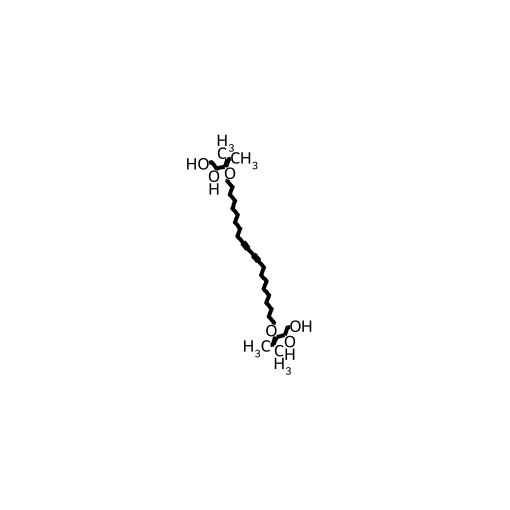 CC(C)=C(OCCCCCCCCCC#CC#CCCCCCCCCCOC(=C(C)C)C(O)CO)C(O)CO